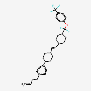 C=CCCc1ccc(C2CCC(/C=C/C3CCC(C(F)(F)Oc4ccc(C(F)(F)F)cc4)CC3)CC2)cc1